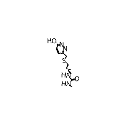 CNC(=O)NSCCSCc1ccc(O)nn1